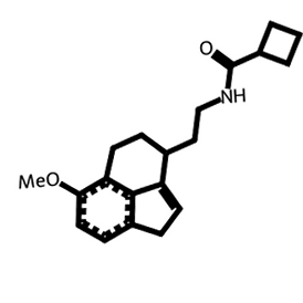 COc1ccc2c3c1CCC(CCNC(=O)C1CCC1)C3=CC2